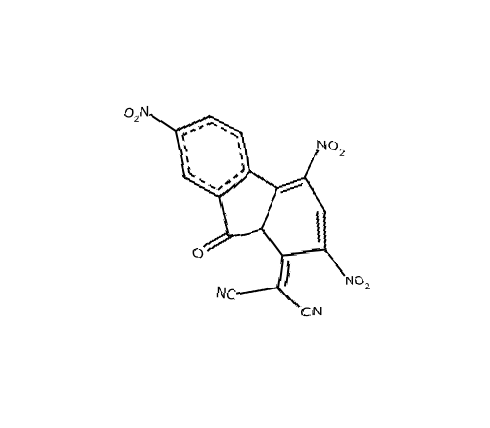 N#CC(C#N)=C1C([N+](=O)[O-])=CC([N+](=O)[O-])=C2c3ccc([N+](=O)[O-])cc3C(=O)C12